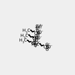 CCCCO[Si]([O-])([O-])[O-].CCCCO[Si]([O-])([O-])[O-].CCCCO[Si]([O-])([O-])[O-].CCCCO[Si]([O-])([O-])[O-].[Ti+4].[Ti+4].[Ti+4]